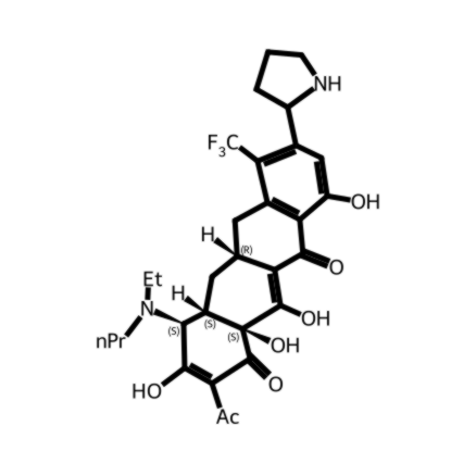 CCCN(CC)[C@@H]1C(O)=C(C(C)=O)C(=O)[C@@]2(O)C(O)=C3C(=O)c4c(O)cc(C5CCCN5)c(C(F)(F)F)c4C[C@H]3C[C@@H]12